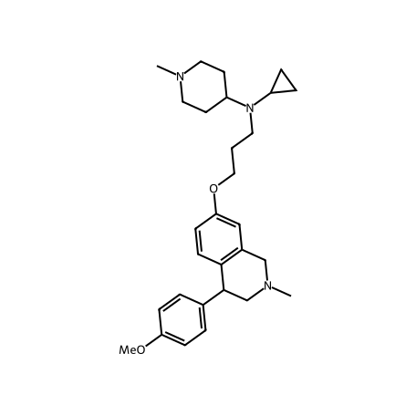 COc1ccc(C2CN(C)Cc3cc(OCCCN(C4CC4)C4CCN(C)CC4)ccc32)cc1